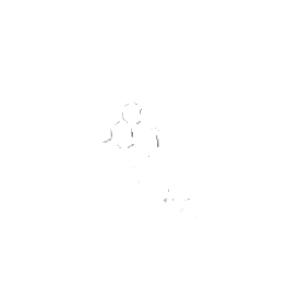 COc1ccc2c(N(C(C)=O)C(CCCNC(=N)N)C(=O)O)cc(=O)oc2c1